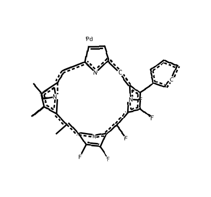 Cc1c(C)c2c(C)c3nc(c(F)c4c(F)c(-c5ccccc5)c(cc5nc(cc1n2C)C=C5)n4F)C(F)=C3F.[Pd]